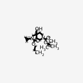 C=CCOC(=O)N(CC1(CO)CCN(C(=O)OC(C)(C)C)CC1)C1CC1